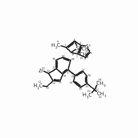 CC1=C2c3sccc3C1[Si]2(C)C.CCC1=Cc2c(-c3ccc(C(C)(C)C)cc3)cccc2[CH]1[Zr]